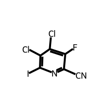 N#Cc1nc(I)c(Cl)c(Cl)c1F